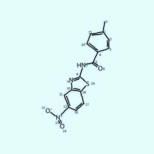 Cc1ccc(C(=O)Nc2nc3cc([N+](=O)[O-])ccc3s2)cc1